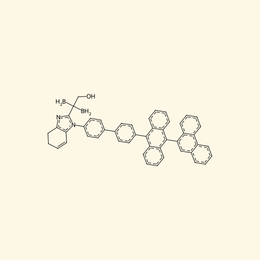 BC(B)(CO)c1nc2c(n1-c1ccc(-c3ccc(-c4c5ccccc5c(-c5cc6ccccc6c6ccccc56)c5ccccc45)cc3)cc1)C=CCC2